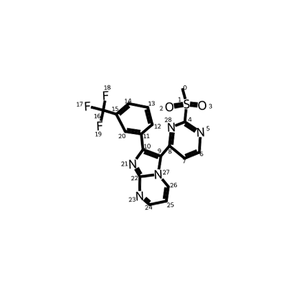 CS(=O)(=O)c1nccc(-c2c(-c3cccc(C(F)(F)F)c3)nc3ncccn23)n1